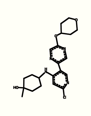 CC1(O)CCC(Nc2cc(Cl)ncc2-c2cnc(OC3CCOCC3)cn2)CC1